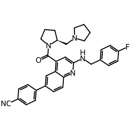 N#Cc1ccc(-c2ccc3nc(NCc4ccc(F)cc4)cc(C(=O)N4CCC[C@H]4CN4CCCC4)c3c2)cc1